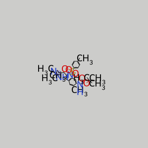 CN/C(=C\N(C)C)C(=O)c1cc2cc(C)c(NC(=O)OC(C)(C)C)cc2n1S(=O)(=O)c1ccc(C)cc1